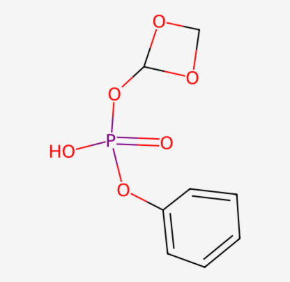 O=P(O)(Oc1ccccc1)OC1OCO1